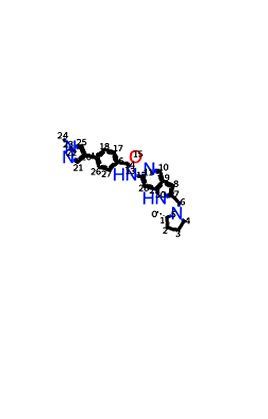 C[C@H]1CCCN1Cc1cc2cnc(NC(=O)c3ccc(-c4cnn(C)c4)cc3)cc2[nH]1